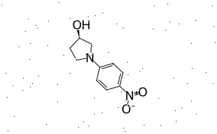 O=[N+]([O-])c1ccc(N2CC[C@@H](O)C2)cc1